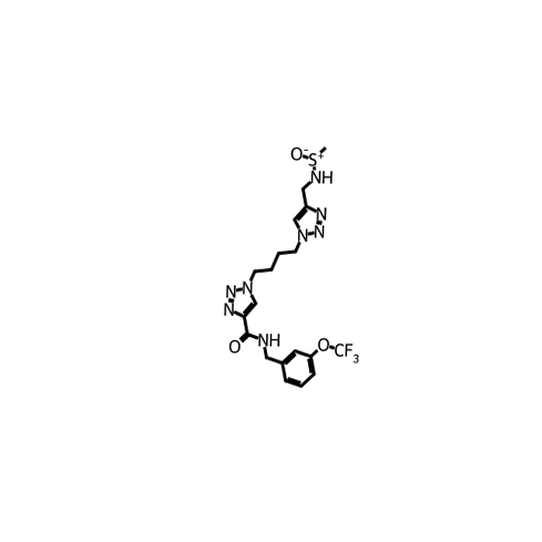 C[S+]([O-])NCc1cn(CCCCn2cc(C(=O)NCc3cccc(OC(F)(F)F)c3)nn2)nn1